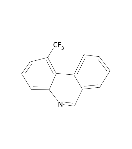 FC(F)(F)c1cccc2ncc3ccccc3c12